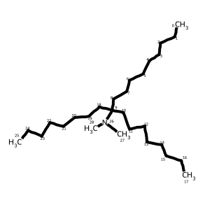 CCCCCCCCCC(CCCCCCCC)(CCCCCCCC)N(C)C